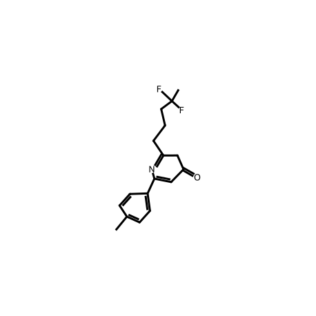 Cc1ccc(C2=CC(=O)CC(CCCC(C)(F)F)=N2)cc1